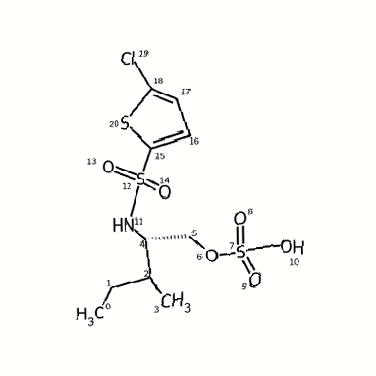 CCC(C)[C@@H](COS(=O)(=O)O)NS(=O)(=O)c1ccc(Cl)s1